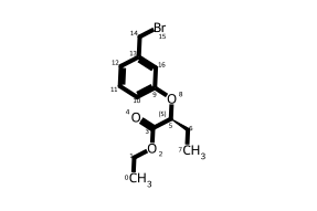 CCOC(=O)[C@H](CC)Oc1cccc(CBr)c1